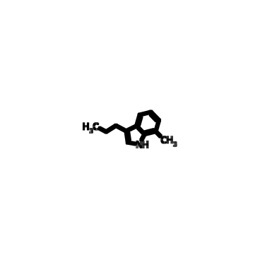 CCCc1c[nH]c2c(C)cccc12